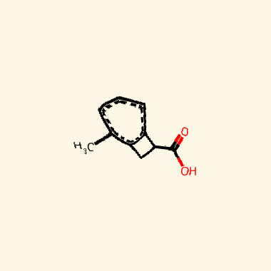 Cc1cccc2c1CC2C(=O)O